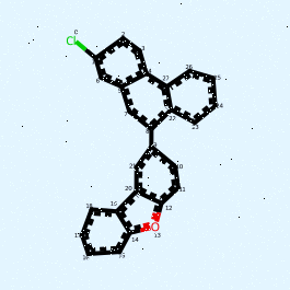 Clc1ccc2c(c1)cc(-c1ccc3oc4ccccc4c3c1)c1ccccc12